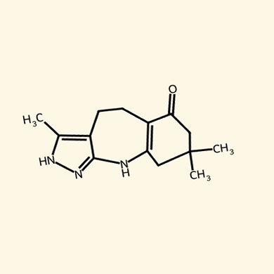 Cc1[nH]nc2c1CCC1=C(CC(C)(C)CC1=O)N2